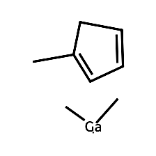 CC1=CC=CC1.[CH3][Ga][CH3]